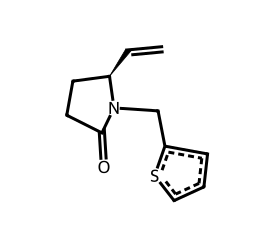 C=C[C@@H]1CCC(=O)N1Cc1cccs1